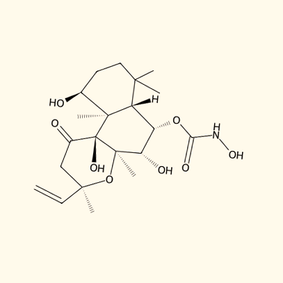 C=C[C@@]1(C)CC(=O)[C@]2(O)[C@@]3(C)[C@@H](O)CCC(C)(C)[C@@H]3[C@H](OC(=O)NO)[C@H](O)[C@@]2(C)O1